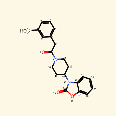 O=C(O)c1cccc(CC(=O)N2CCC(n3c(=O)oc4ccccc43)CC2)c1